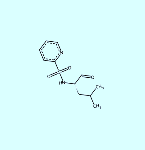 CC(C)C[C@@H](C=O)NS(=O)(=O)c1ccccn1